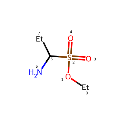 CCOS(=O)(=O)C(N)CC